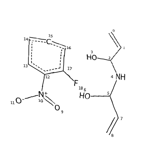 C=CC(O)NC(O)C=C.O=[N+]([O-])c1ccccc1F